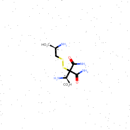 NC(=O)C(SSC[C@H](N)C(=O)O)(C(N)=O)[C@H](N)C(=O)O